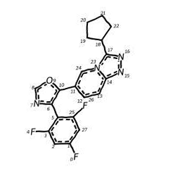 Fc1cc(F)c(-c2ncoc2-c2ccc3nnc(C4CCCC4)n3c2)c(F)c1